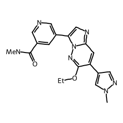 CCOc1nn2c(-c3cncc(C(=O)NC)c3)cnc2cc1-c1cnn(C)c1